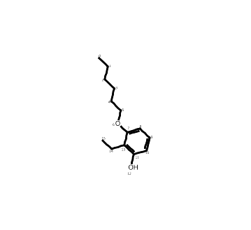 CCCCCCOc1cccc(O)c1CC